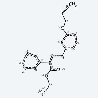 C=CCSc1cccc(CC=C(C(=O)OCC)c2cccnc2)c1